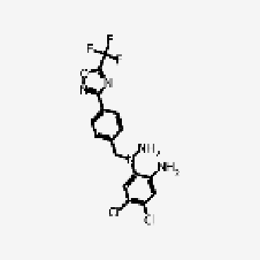 Nc1cc(Cl)c(Cl)cc1N(N)Cc1ccc(-c2noc(C(F)(F)F)n2)cc1